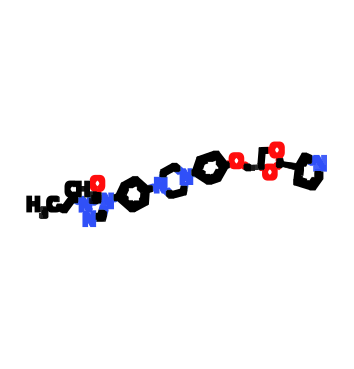 CCC(C)n1ncn(-c2ccc(N3CCN(c4ccc(OC[C@@H]5CO[C@@H](c6cccnc6)O5)cc4)CC3)cc2)c1=O